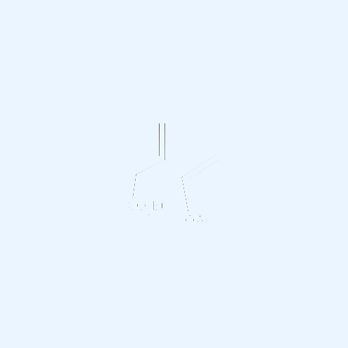 C=CCC(=O)OCC.C=COC(C)=O